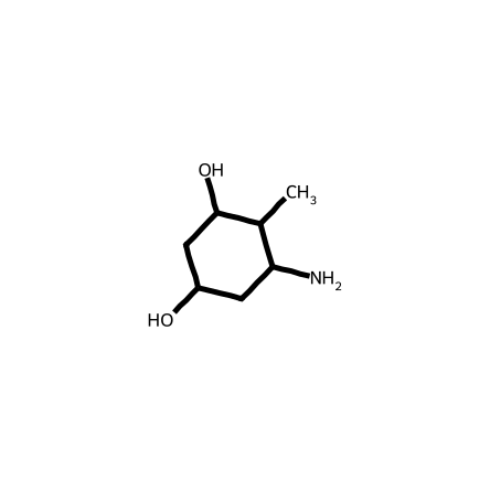 CC1C(N)CC(O)CC1O